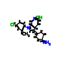 Cc1cc(Cl)ccc1-n1cc(C2CCC(N)CC2)c2ccncc21.Cl